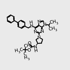 CC(C)n1cnc2c(NCc3ccc(-c4ccccc4)cc3)nc(N3CC[C@@H](NC(=O)OC(C)(C)C)C3)nc21